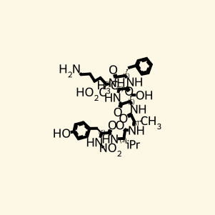 CC(C)[C@H](NC(=O)[C@H](Cc1ccc(O)cc1)N[N+](=O)[O-])C(=O)N[C@@H](C)C(=O)N[C@@H](CO)C(=O)N[C@@H](C)C(=O)N[C@@H](Cc1ccccc1)C(=O)N[C@@H](CCCCN)C(=O)O